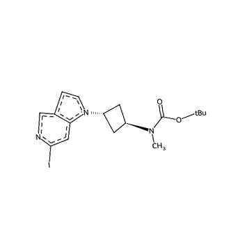 CN(C(=O)OC(C)(C)C)[C@H]1C[C@H](n2ccc3cnc(I)cc32)C1